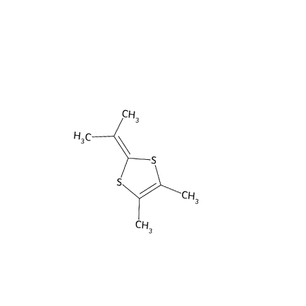 CC(C)=C1SC(C)=C(C)S1